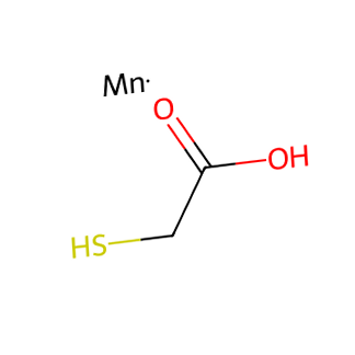 O=C(O)CS.[Mn]